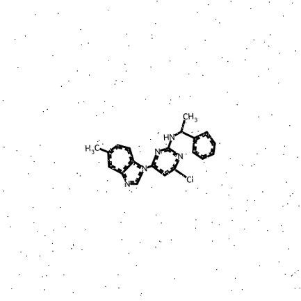 Cc1ccc2c(c1)ncn2-c1cc(Cl)nc(NC(C)c2ccccc2)n1